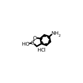 Cl.Nc1ccc2c(c1)OB(O)C2